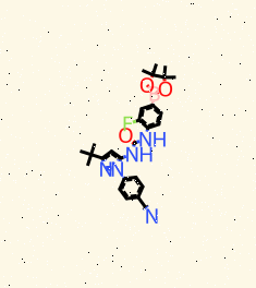 CC(C)(C)c1cc(NC(=O)Nc2ccc(B3OC(C)(C)C(C)(C)O3)cc2F)n(-c2ccc(C#N)cc2)n1